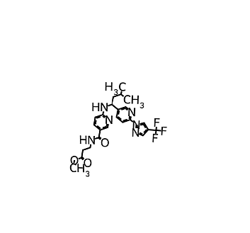 COC(=O)CCNC(=O)c1ccc(N[C@@H](CC(C)C)c2ccc(-n3cc(C(F)(F)F)cn3)nc2)nc1